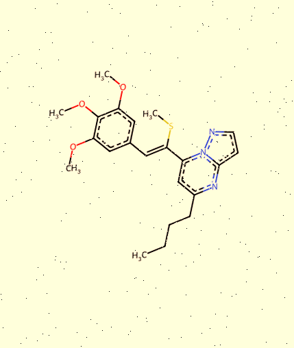 CCCCc1cc(C(=Cc2cc(OC)c(OC)c(OC)c2)SC)n2nccc2n1